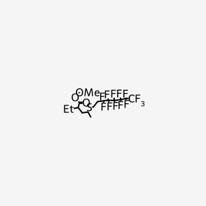 CCC(CC(C)SCCC(F)(F)C(F)(F)C(F)(F)C(F)(F)C(F)(F)C(F)(F)F)C(=O)OOC